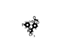 O=C1COc2ccc(-c3cc(C(F)(F)F)nn3-c3cccc(F)c3)cc2N1